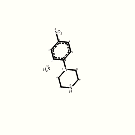 O=[N+]([O-])c1ccc(N2CCNCC2)cc1.S